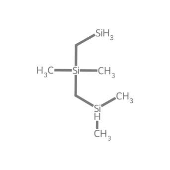 C[SiH](C)C[Si](C)(C)C[SiH3]